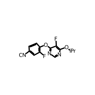 [C-]#[N+]c1ccc(Oc2ncnc(OC(C)C)c2F)c(F)c1